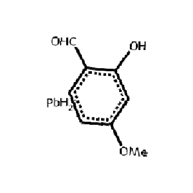 COc1ccc(C=O)c(O)c1.[PbH2]